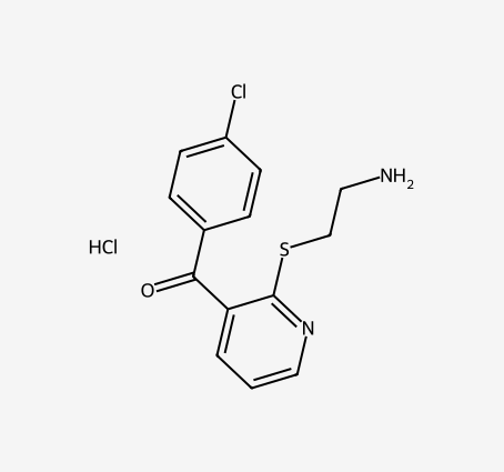 Cl.NCCSc1ncccc1C(=O)c1ccc(Cl)cc1